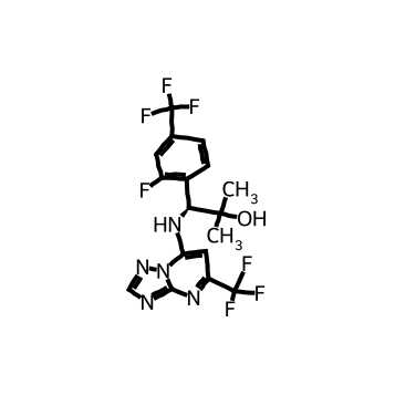 CC(C)(O)[C@@H](Nc1cc(C(F)(F)F)nc2ncnn12)c1ccc(C(F)(F)F)cc1F